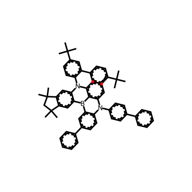 Cc1cc2c3c(c1)N(c1ccc(C(C)(C)C)cc1-c1ccc(C(C)(C)C)cc1)c1cc4c(cc1B3c1cc(-c3ccccc3)ccc1N2c1ccc(-c2ccccc2)cc1)C(C)(C)CC4(C)C